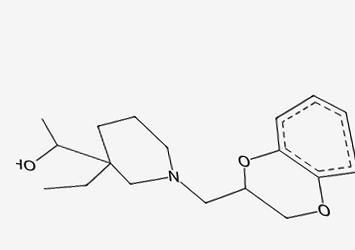 CCC1(C(C)O)CCCN(CC2COc3ccccc3O2)C1